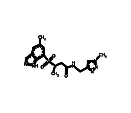 Cc1cc(S(=O)(=O)N(C)CC(=O)NCc2cn(C)nn2)c2[nH]ncc2c1